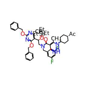 CC[Si](CC)(CC)OC(CN(Cc1cc(F)cc(F)c1)C(=O)/C(C=N)=C(\C)N[C@H]1CC[C@H](C(C)=O)CC1)c1c(C)nc(OCc2ccccc2)nc1OCc1ccccc1